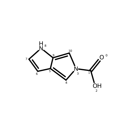 O=C(O)n1cc2cc[nH]c2c1